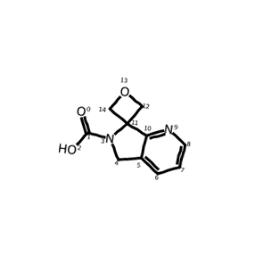 O=C(O)N1Cc2cccnc2C12COC2